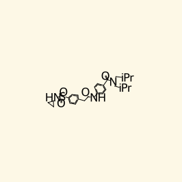 CC(C)CN(CC(C)C)C(=O)c1ccc(NC(=O)Cc2ccc(S(=O)(=O)NC3CC3)cc2)cc1